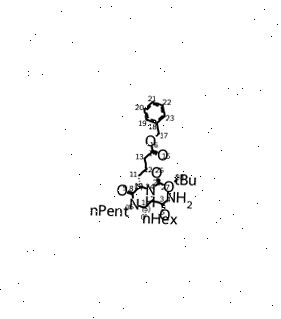 CCCCCC[C@@H](CC(N)=O)N(CCCCC)C(=O)[C@H](CCCC(=O)OCc1ccccc1)NC(=O)OC(C)(C)C